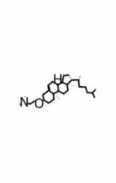 CC(C)CCC[C@@H](C)[C@H]1CCC2[C@@H]3CC=C4C[C@@H](OCCN(C)C)CC[C@]4(C)C3CC[C@@]21C